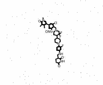 COc1cc(-c2cn(C)c(=O)c(C)c2C)cc(Cl)c1CN1CCC(C2CCN(c3ccc(NCC4CCC(=O)NC4=O)cc3F)CC2)C(F)(F)C1